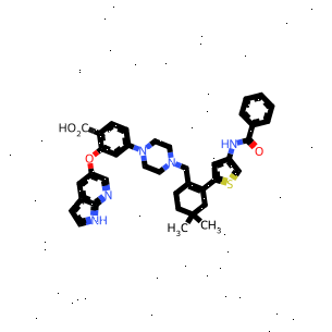 CC1(C)CCC(CN2CCN(c3ccc(C(=O)O)c(Oc4cnc5[nH]ccc5c4)c3)CC2)=C(c2cc(NC(=O)c3ccccc3)cs2)C1